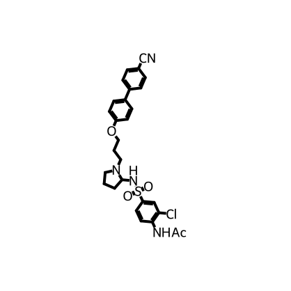 CC(=O)Nc1ccc(S(=O)(=O)NC2CCCN2CCCOc2ccc(-c3ccc(C#N)cc3)cc2)cc1Cl